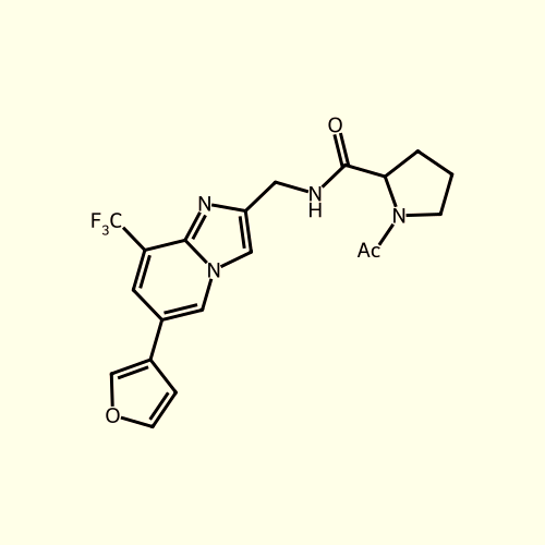 CC(=O)N1CCCC1C(=O)NCc1cn2cc(-c3ccoc3)cc(C(F)(F)F)c2n1